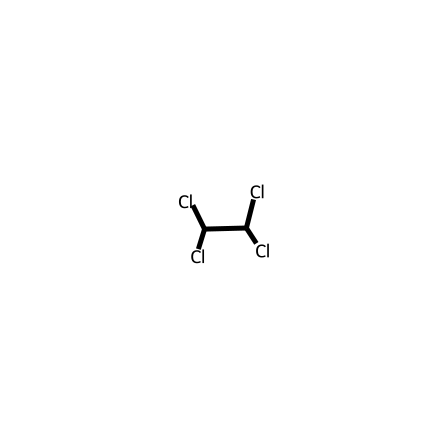 ClC(Cl)C(Cl)Cl